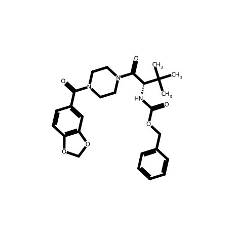 CC(C)(C)[C@H](NC(=O)OCc1ccccc1)C(=O)N1CCN(C(=O)c2ccc3c(c2)OCO3)CC1